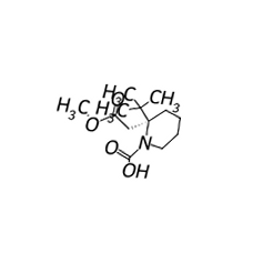 COC(=O)C[C@]1(C(C)(C)C)CCCCN1C(=O)O